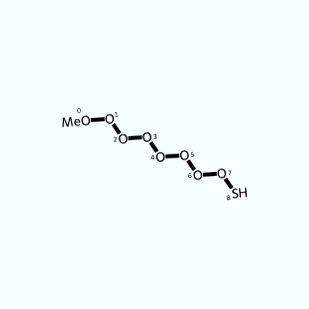 COOOOOOOOS